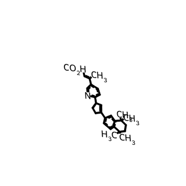 CC(=CC(=O)O)c1ccc(C2C=C(c3ccc4c(c3)C(C)(C)CCC4(C)C)CC2)nc1